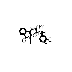 CCCN(C(=O)Nc1ccc(F)c(Cl)c1)[C@@H](C)c1c[nH]c(=O)c2ccccc12